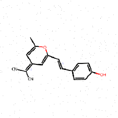 [C-]#[N+]/C(C#N)=C1\C=C(C)OC(/C=C/c2ccc(O)cc2)=C1